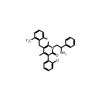 Cc1c(Cc2c(F)cccc2C(F)(F)F)c(C)n(CC(N)c2ccccc2)c(=O)c1-c1ccccc1Cl